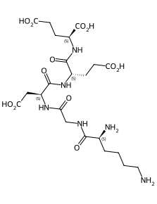 NCCCC[C@H](N)C(=O)NCC(=O)N[C@@H](CC(=O)O)C(=O)N[C@@H](CCC(=O)O)C(=O)N[C@@H](CCC(=O)O)C(=O)O